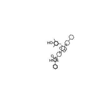 Cc1cc(C[C@@H](OC(=O)N2CCC(n3nc(-c4ccccc4)[nH]c3=O)CC2)C(=O)N2CCC(C3CCCCC3)CC2)cc(C)c1O